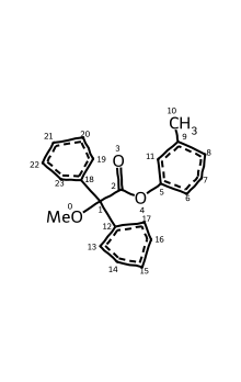 COC(C(=O)Oc1cccc(C)c1)(c1ccccc1)c1ccccc1